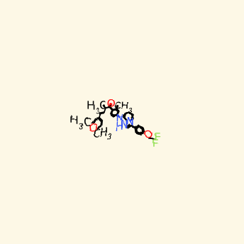 Cc1cc(NC2=CCC=Cn3c(-c4ccc(OCC(F)F)cc4)cnc32)ccc1C(=O)C(C)CCC1=CC[C@H](C)O[C@H](C)C1